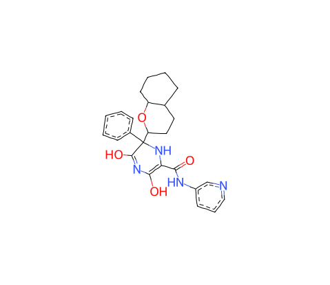 O=C(Nc1cccnc1)C1=C(O)N=C(O)C(c2ccccc2)(C2CCC3CCCCC3O2)N1